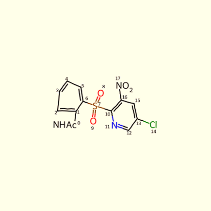 CC(=O)Nc1ccccc1S(=O)(=O)c1ncc(Cl)cc1[N+](=O)[O-]